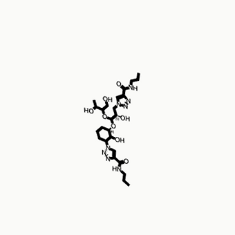 CCCNC(=O)c1cn(C[C@H](O)C(OC(CO)C(C)O)O[C@@H]2CCCC(n3cc(C(=O)NCCC)nn3)C2O)nn1